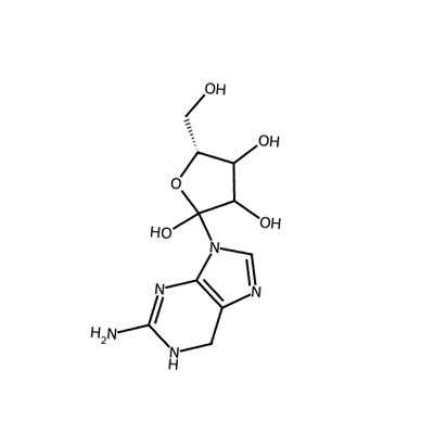 NC1=Nc2c(ncn2C2(O)O[C@H](CO)C(O)C2O)CN1